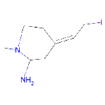 CN1CC/C(=C\CI)CC1N